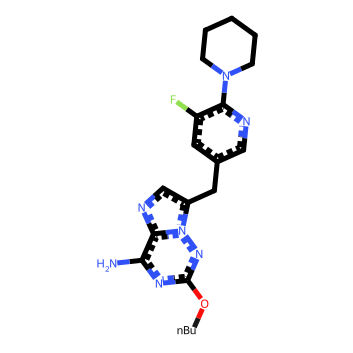 CCCCOc1nc(N)c2ncc(Cc3cnc(N4CCCCC4)c(F)c3)n2n1